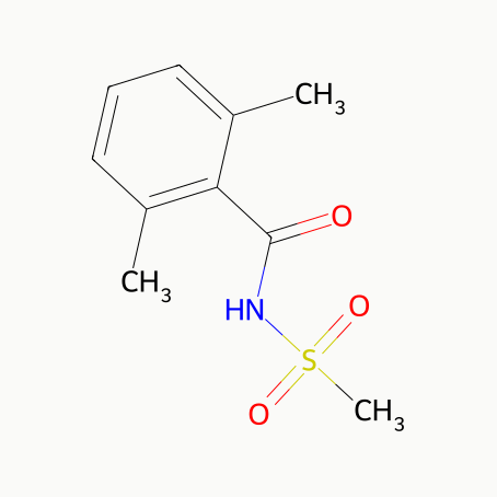 Cc1cccc(C)c1C(=O)NS(C)(=O)=O